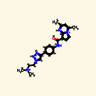 Cc1cc(C)n2ccc(C(=O)Nc3ccc(-c4cn(CCN(C)C)nn4)cc3)c2n1